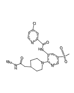 CC(C)(C)NC(=O)CC1CCN(c2ncc(S(C)(=O)=O)cc2NC(=O)c2cc(Cl)ccn2)CC1